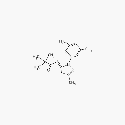 Cc1cc(C)cc(-n2cc(C)sc2=NC(=O)C(C)(C)C)c1